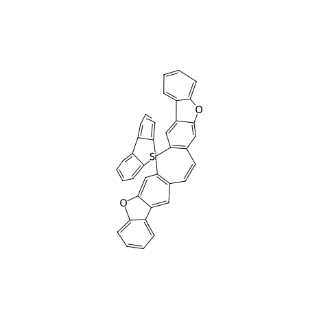 C1=Cc2cc3oc4ccccc4c3cc2[Si]2(c3cc4oc5ccccc5c4cc31)c1ccccc1-c1ccccc12